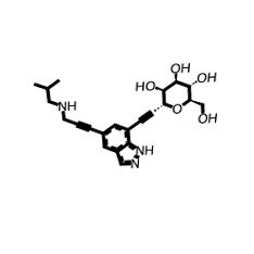 CC(C)CNCC#Cc1cc(C#C[C@H]2O[C@H](CO)[C@@H](O)[C@H](O)[C@@H]2O)c2[nH]ncc2c1